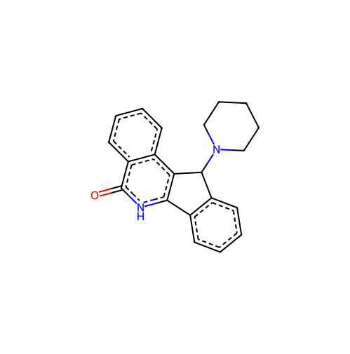 O=c1[nH]c2c(c3ccccc13)C(N1CCCCC1)c1ccccc1-2